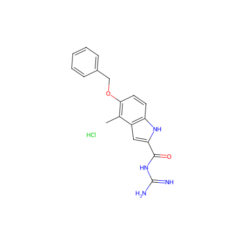 Cc1c(OCc2ccccc2)ccc2[nH]c(C(=O)NC(=N)N)cc12.Cl